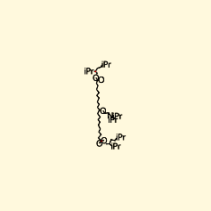 CC(C)CCC(COC(=O)CCCCCCCCCC(CCCCCCCCCC(=O)OCC(CCC(C)C)C(C)C)OCCN(C(C)C)C(C)C)C(C)C